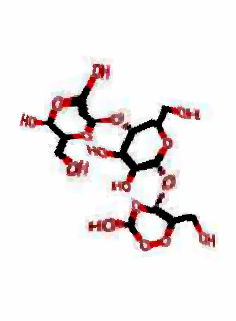 OCC1OO[C@@H](O)O[C@@H]1O[C@H]1OC(CO)[C@@H](O[C@H]2OC(CO)[C@@H](O)OC2O)C(O)C1O